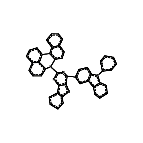 c1ccc(-n2c3ccccc3c3cc(-c4nc(N5c6ccc7ccccc7c6-c6cccc7cccc5c67)nc5c4sc4ccccc45)ccc32)cc1